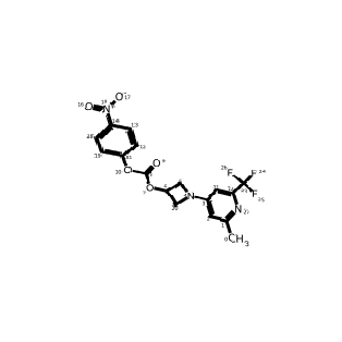 Cc1cc(N2CC(OC(=O)Oc3ccc([N+](=O)[O-])cc3)C2)cc(C(F)(F)F)n1